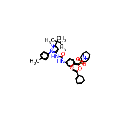 Cc1ccc(-n2nc(C(C)(C)C)cc2NC(=O)Nc2ccc(CC3CC4CCC(C3)N4S(=O)(=O)C3=COC=C(C4=CC=CCC4)O3)cc2)cc1